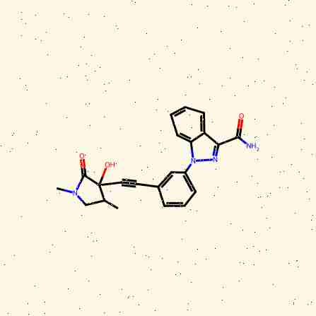 CC1CN(C)C(=O)C1(O)C#Cc1cccc(-n2nc(C(N)=O)c3ccccc32)c1